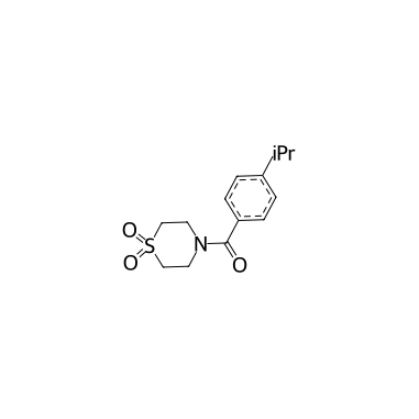 CC(C)c1ccc(C(=O)N2CCS(=O)(=O)CC2)cc1